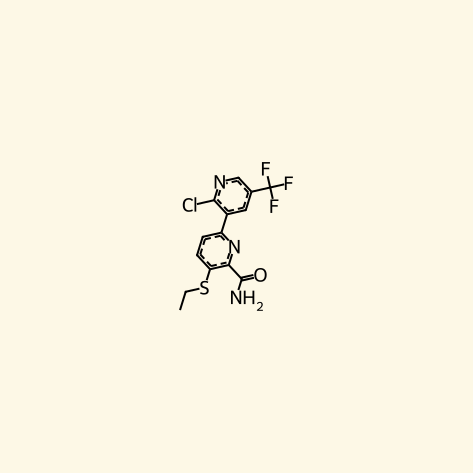 CCSc1ccc(-c2cc(C(F)(F)F)cnc2Cl)nc1C(N)=O